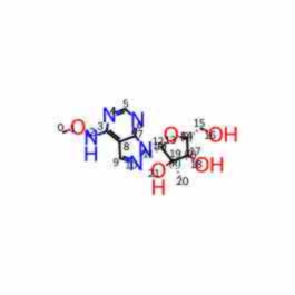 CONc1ncnc2c1cnn2[C@@H]1O[C@H](CO)[C@@H](O)[C@@]1(C)O